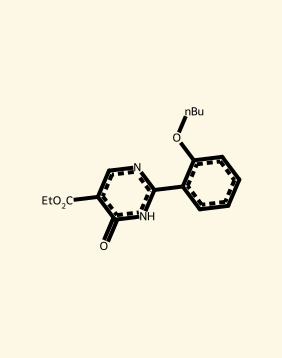 CCCCOc1ccccc1-c1ncc(C(=O)OCC)c(=O)[nH]1